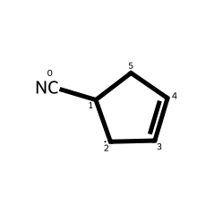 N#CC1[CH]C=CC1